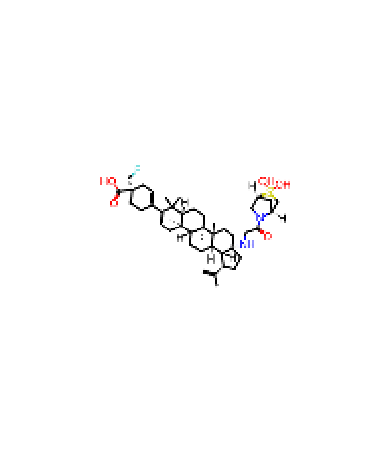 C=C(C)[C@@H]1CC[C@]2(NCC(=O)N3C[C@@H]4C[C@H]3CS4(O)O)CC[C@]3(C)[C@H](CC[C@@H]4[C@@]5(C)CC=C(C6=CC[C@](CF)(C(=O)O)CC6)C(C)(C)[C@@H]5CC[C@]43C)[C@@H]12